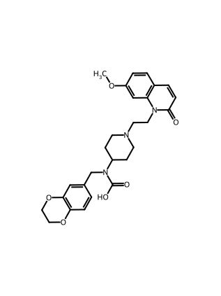 COc1ccc2ccc(=O)n(CCN3CCC(N(Cc4ccc5c(c4)OCCO5)C(=O)O)CC3)c2c1